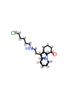 O=C1CCCc2c(CCNCCCCCCl)c3ccccn3c21